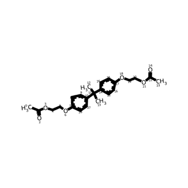 CC(=O)OCCOc1ccc(C(C)(C)c2ccc(OCCOC(C)=O)cc2)cc1